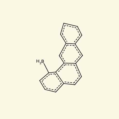 Bc1cccc2ccc3cc4ccccc4cc3c12